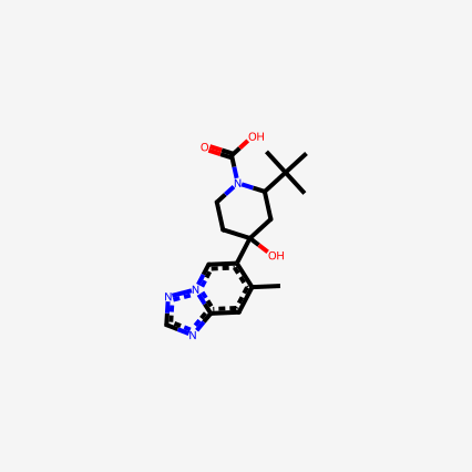 Cc1cc2ncnn2cc1C1(O)CCN(C(=O)O)C(C(C)(C)C)C1